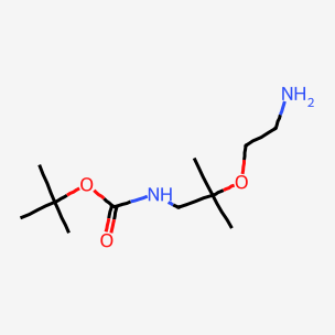 CC(C)(C)OC(=O)NCC(C)(C)OCCN